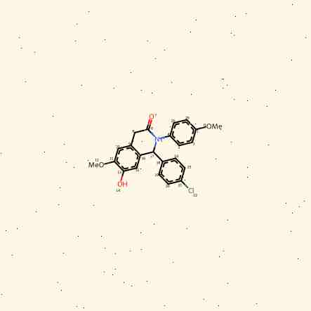 COc1ccc(N2C(=O)Cc3cc(OC)c(O)cc3C2c2ccc(Cl)cc2)cc1